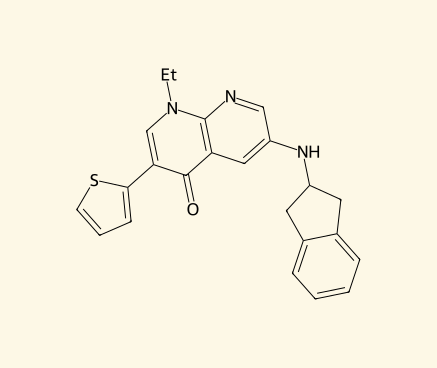 CCn1cc(-c2cccs2)c(=O)c2cc(NC3Cc4ccccc4C3)cnc21